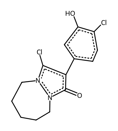 O=c1c(-c2ccc(Cl)c(O)c2)c(Cl)n2n1CCCCC2